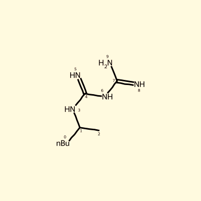 CCCCC(C)NC(=N)NC(=N)N